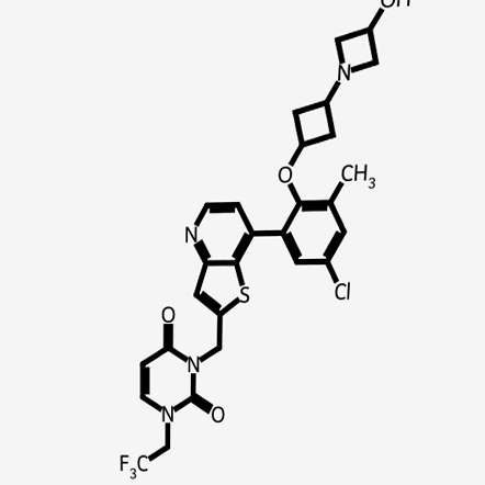 Cc1cc(Cl)cc(-c2ccnc3cc(Cn4c(=O)ccn(CC(F)(F)F)c4=O)sc23)c1OC1CC(N2CC(O)C2)C1